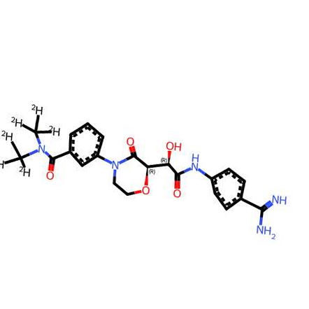 [2H]C([2H])([2H])N(C(=O)c1cccc(N2CCO[C@H]([C@@H](O)C(=O)Nc3ccc(C(=N)N)cc3)C2=O)c1)C([2H])([2H])[2H]